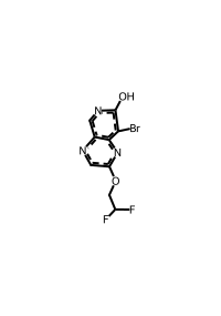 Oc1ncc2ncc(OCC(F)F)nc2c1Br